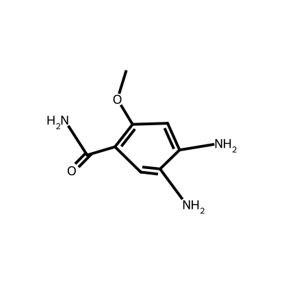 COc1cc(N)c(N)cc1C(N)=O